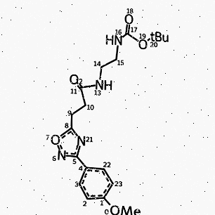 COc1ccc(-c2noc(CCC(=O)NCCNC(=O)OC(C)(C)C)n2)cc1